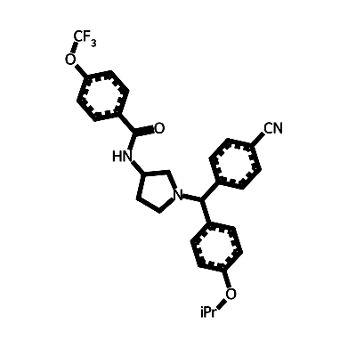 CC(C)Oc1ccc(C(c2ccc(C#N)cc2)N2CCC(NC(=O)c3ccc(OC(F)(F)F)cc3)C2)cc1